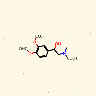 CN(CC(O)c1ccc(OC=O)c(OC(=O)O)c1)C(=O)O